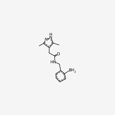 Bc1ccccc1CNC(=O)Cc1c(C)n[nH]c1C